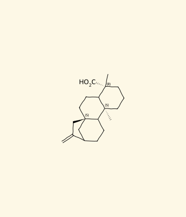 C=C1C[C@@]23CCC4[C@@](C)(CCC[C@@]4(C)C(=O)O)C2CCC1C3